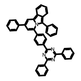 c1ccc(-c2cc(-c3ccc(-c4nc(-c5ccccc5)nc(-c5ccccc5)n4)cc3)n3c(-c4ccccc4)c4ccccc4c3c2)cc1